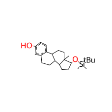 CC12CCC3c4ccc(O)cc4CCC3C1CCC2O[Si](C)(C)C(C)(C)C